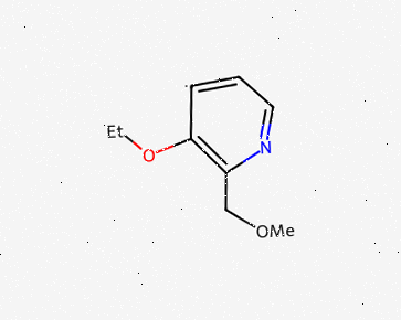 CCOc1[c]ccnc1COC